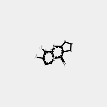 CCc1ccn2c(=O)c3c(nc2c1CC)CCC3